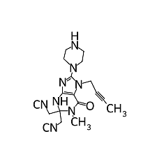 [C-]#[N+]CC1(C[N+]#[C-])Nc2nc(N3CCNCC3)n(CC#CC)c2C(=O)N1C